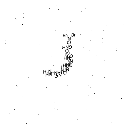 Cn1cc(NC(=O)c2cc(NC(=O)c3cc(NC(=O)c4cc5cc(NC(=O)c6ccc(N(CCBr)CCBr)cc6)ccc5n4C)cn3C)cn2C)cc1C(=O)NCCC(=N)N